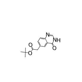 CC(C)(C)OC(=O)Cc1ccc2nc[nH]c(=O)c2c1